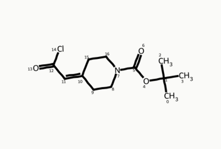 CC(C)(C)OC(=O)N1CCC(=CC(=O)Cl)CC1